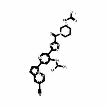 CC(=O)N[C@@H]1CCCN(C(=O)c2nnc(-c3cnc(-c4ccc5cc(C#N)cnn45)cc3NC(C)C)s2)C1